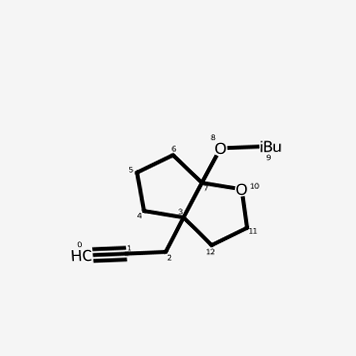 C#CCC12CCCC1(OC(C)CC)OCC2